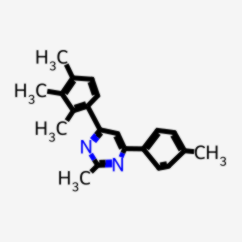 Cc1ccc(-c2cc(-c3ccc(C)c(C)c3C)nc(C)n2)cc1